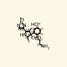 CCn1nnc(C2=C(C)C(C=O)(c3ccccc3OCCN)C(C)N2)n1.Cl